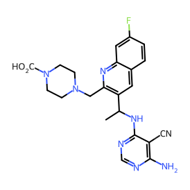 CC(Nc1ncnc(N)c1C#N)c1cc2ccc(F)cc2nc1CN1CCN(C(=O)O)CC1